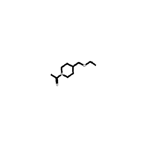 CCOCC1CCN(C(C)=O)CC1